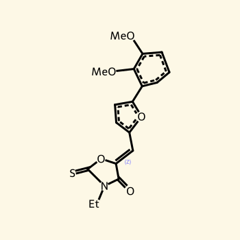 CCN1C(=O)/C(=C/c2ccc(-c3cccc(OC)c3OC)o2)OC1=S